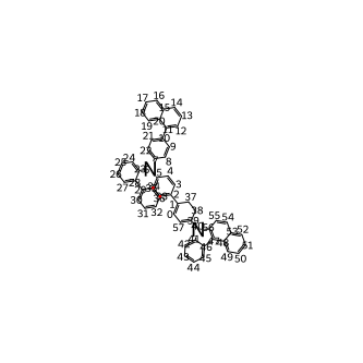 C1=C(c2ccc(N(c3ccc(-c4cccc5ccccc45)cc3)c3ccccc3-c3ccccc3)cc2)CCC(n2c3ccccc3c3c4ccccc4ccc32)=C1